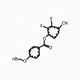 CCCCOc1ccc(C(=O)Oc2ccc(C#N)c(F)c2F)cc1